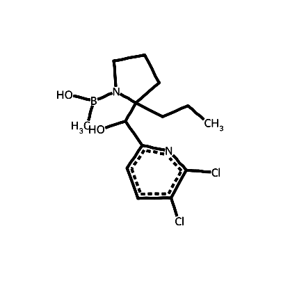 CCCC1(C(O)c2ccc(Cl)c(Cl)n2)CCCN1B(C)O